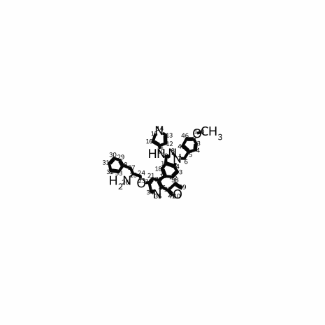 COc1ccc(Cn2nc(Nc3ccncc3)c3cc(-c4cc(OC[C@@H](N)Cc5ccccc5)cnc4-c4ccoc4)ccc32)cc1